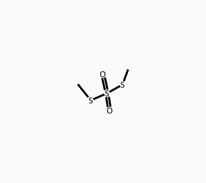 CSS(=O)(=O)SC